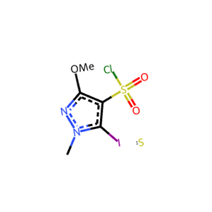 COc1nn(C)c(I)c1S(=O)(=O)Cl.[S]